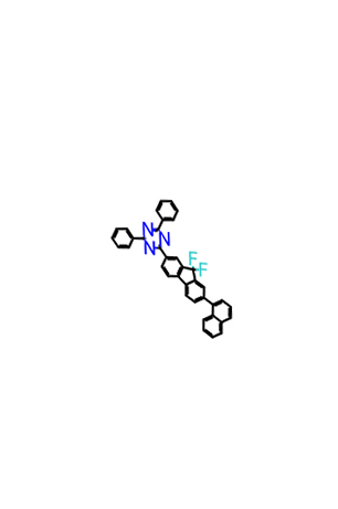 FC1(F)c2cc(-c3nc(-c4ccccc4)nc(-c4ccccc4)n3)ccc2-c2ccc(-c3cccc4ccccc34)cc21